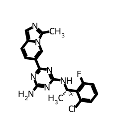 Cc1ncc2ccc(-c3nc(N)nc(N[C@@H](C)c4c(F)cccc4Cl)n3)cn12